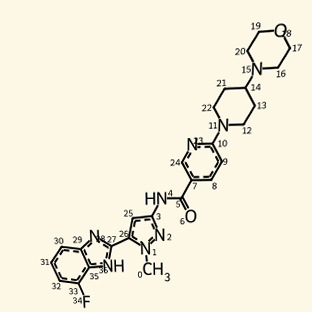 Cn1nc(NC(=O)c2ccc(N3CCC(N4CCOCC4)CC3)nc2)cc1-c1nc2cccc(F)c2[nH]1